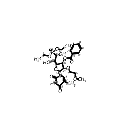 CCOP(=O)(OCC)[C@@H](O)[C@H](O)[C@H]1O[C@@H](n2cc(C)c(=O)[nH]c2=O)[C@H](OCCOC)[C@@H]1OC(=O)c1ccccc1